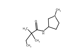 CCC(C)(C)C(=O)NC1CCN(C)C1